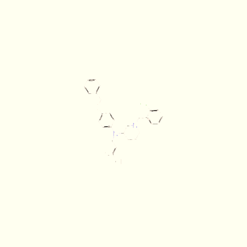 CC(C)=CCN(c1ccc(OCc2ccccc2)cc1)C1CCCN(Cc2ccccc2Cl)C1